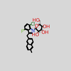 Cc1ccc2cc(Cc3cn([C@@H]4O[C@H](CO)[C@@H](O)[C@H](O)[C@H]4O)c4c(Cl)ccc(F)c34)ccc2c1